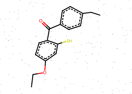 CCOc1ccc(C(=O)c2ccc(CC)cc2)c(S)c1